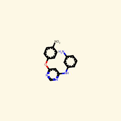 Nc1cccc(Nc2cc(Oc3ccc([N+](=O)[O-])cc3)ncn2)c1